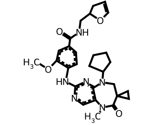 COc1cc(C(=O)NCC2CC=CO2)ccc1Nc1ncc2c(n1)N(C1CCCC1)CC1(CC1)C(=O)N2C